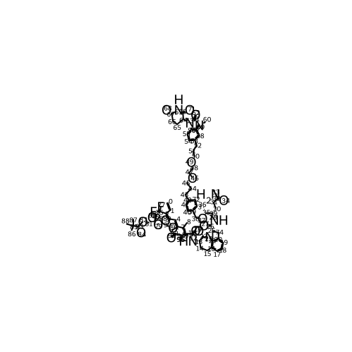 C=C\C(=C/C=C(C)/C(C)=C/C(=O)N[C@H]1CCc2cccc3c2N(C1=O)[C@H](C(=O)N[C@@H](CCC(N)=O)[C@@H](C)OCc1ccc(CCCOCCOCCCc2ccc4c(c2)n(C)c(=O)n4C2CCC(=O)NC2=O)cc1)C3)C(F)(F)P(=O)(OCOC(=O)C(C)(C)C)OCOC(=O)C(C)(C)C